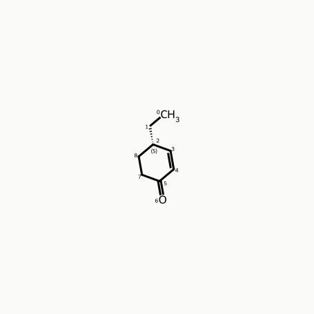 CC[C@@H]1C=CC(=O)CC1